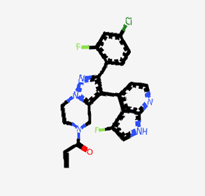 C=CC(=O)N1CCn2nc(-c3ccc(Cl)cc3F)c(-c3ccnc4[nH]cc(F)c34)c2C1